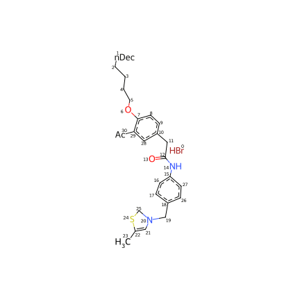 Br.CCCCCCCCCCCCCCOc1ccc(CC(=O)Nc2ccc(CN3C=C(C)SC3)cc2)cc1C(C)=O